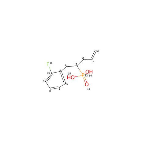 C=CCC(Cc1ccccc1F)P(=O)(O)O